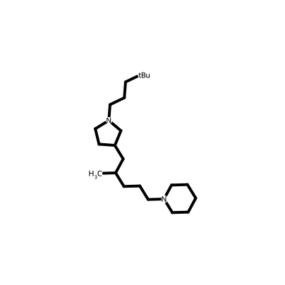 CC(CCCN1CCCCC1)CC1CCN(CCCC(C)(C)C)C1